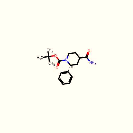 CC(C)(C)OC(=O)N1CCC(C(N)=O)C[C@@H]1c1ccccc1